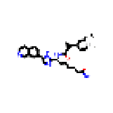 C=C/C=C(\C=C/C)C1CC1C(=O)N[C@@H](CCCCCC(N)=O)c1ncc(-c2ccc3ccncc3c2)[nH]1